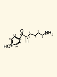 NCCCCNC(=O)c1ccc(O)cc1